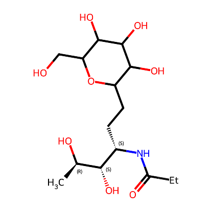 CCC(=O)N[C@@H](CCC1OC(CO)C(O)C(O)C1O)[C@H](O)[C@@H](C)O